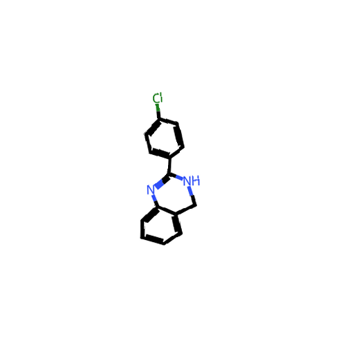 Clc1ccc(C2=Nc3ccccc3CN2)cc1